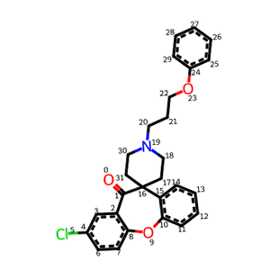 O=C1c2cc(Cl)ccc2Oc2ccccc2C12CCN(CCCOc1ccccc1)CC2